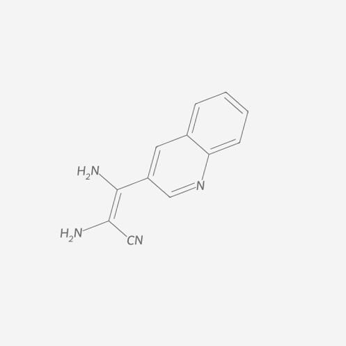 N#C/C(N)=C(/N)c1cnc2ccccc2c1